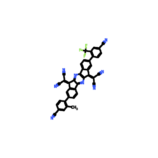 Cc1cc(C#N)ccc1-c1ccc2c(c1)C(=C(C#N)C#N)c1nc3c(nc1-2)C(=C(C#N)C#N)c1cc(-c2ccc(C#N)cc2C(F)(F)F)ccc1-3